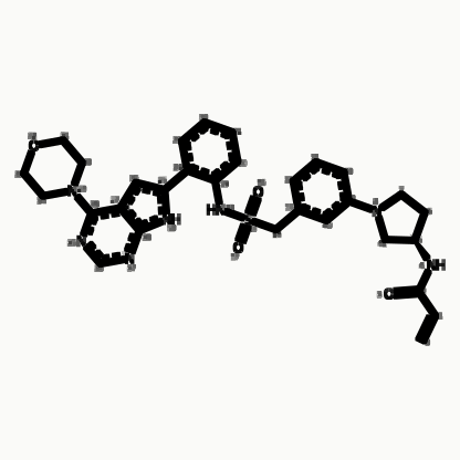 C=CC(=O)N[C@@H]1CCN(c2cccc(CS(=O)(=O)Nc3ccccc3-c3cc4c(N5CCOCC5)ncnc4[nH]3)c2)C1